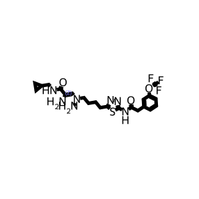 N/C(=C\N(N)CCCCc1nnc(NC(=O)Cc2cccc(OC(F)(F)F)c2)s1)C(=O)NCC1CC1